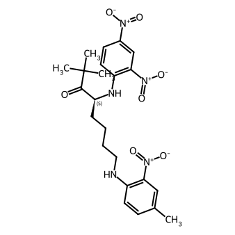 Cc1ccc(NCCCC[C@H](Nc2ccc([N+](=O)[O-])cc2[N+](=O)[O-])C(=O)C(C)(C)C)c([N+](=O)[O-])c1